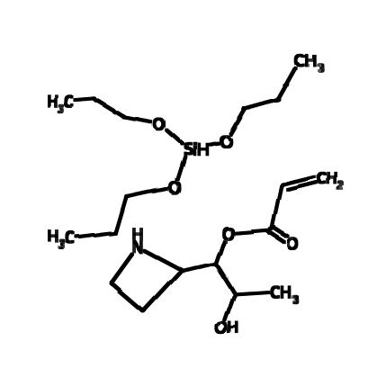 C=CC(=O)OC(C(C)O)C1CCN1.CCCO[SiH](OCCC)OCCC